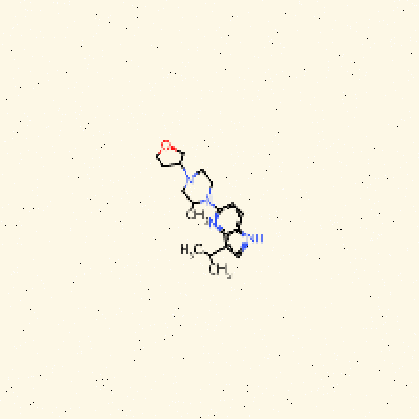 CC(C)c1c[nH]c2ccc(N3CCN(C4CCOC4)CC3C)nc12